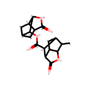 CC1C2CC3C1OC(=O)C3C2C(=O)OC1C2CC3C(=O)OC1C3C2